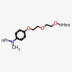 CCCCCCOCCOCCOc1ccc(N(C)CCC)cc1